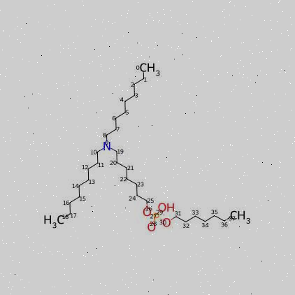 CCCCCCCCCN(CCCCCCCCC)CCCCCCCOP(=O)(O)OCCCCCCC